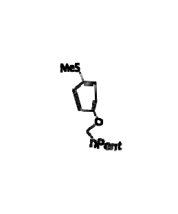 CCCCCCOc1ccc(SC)cc1